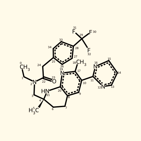 CCN(C[C@@]1(C)CCc2cc(-c3ncccn3)c(C)nc2N1)C(=O)Cc1ccc(C(F)(F)F)cc1